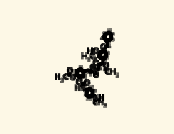 CCOC(CS(=O)(=O)/C=C/c1ccc(OC(C)=O)c(OC(=O)Nc2ccc(NC)cc2)c1)C(OCC)c1ccc(OCc2ccccc2)c(O)c1